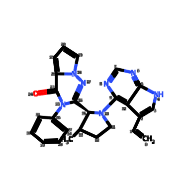 C=Cc1c[nH]c2ncnc(N3CCC(C)[C@H]3c3nn4cccc4c(=O)n3-c3ccccc3)c12